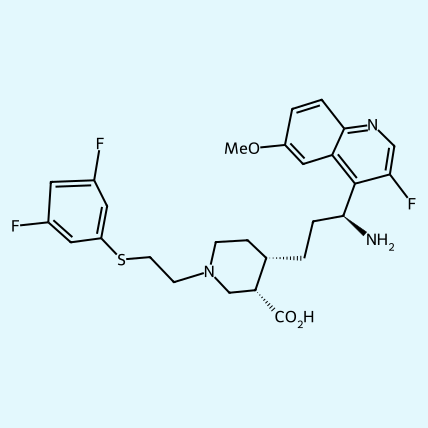 COc1ccc2ncc(F)c([C@@H](N)CC[C@H]3CCN(CCSc4cc(F)cc(F)c4)C[C@H]3C(=O)O)c2c1